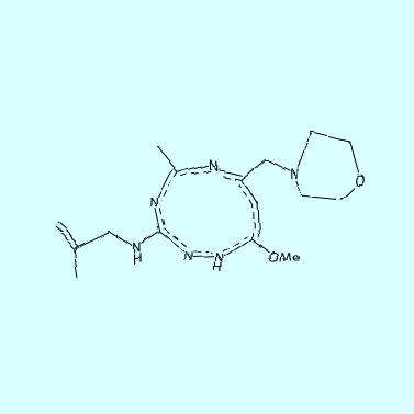 C=C(C)CNc1n[nH]c(OC)cc(CN2CCOCC2)nc(C)n1